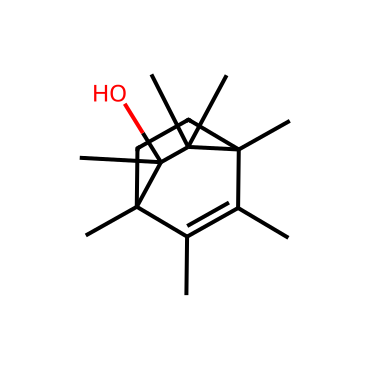 CC1=C(C)C2(C)CCC1(C)C(C)(C)C2(C)O